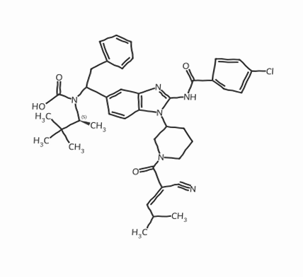 CC(C)C=C(C#N)C(=O)N1CCCC(n2c(NC(=O)c3ccc(Cl)cc3)nc3cc(C(Cc4ccccc4)N(C(=O)O)[C@@H](C)C(C)(C)C)ccc32)C1